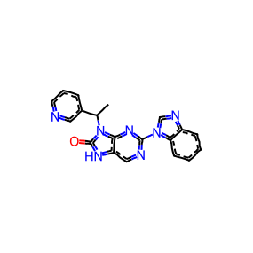 CC(c1cccnc1)n1c(=O)[nH]c2cnc(-n3cnc4ccccc43)nc21